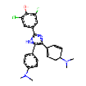 CN(C)c1ccc(-c2[nH]c(-c3cc(Cl)c(O)c(Cl)c3)nc2C2=CCC(N(C)C)C=C2)cc1